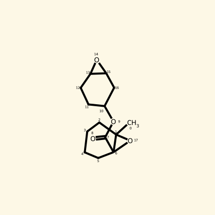 CC12CCCCC1(C(=O)OC1CCC3OC3C1)O2